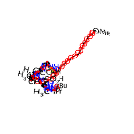 COCCOCCOCCOCCOCCOCCOCCOCCOCCOCCOCCOCCOCCOCCOCCOCCOCCCc1cc(NC[C@H](C)NC[C@@H](NC(=O)OC(C)(C)C)C(C)C)ccc1COC(=O)N(CCOC12CC3(C)CC(C)(CC(Cn4ncc(-c5ccc(N6CCc7cccc(C(=O)Nc8nc9ccccc9s8)c7C6)nc5C(=O)O)c4C)(C3)C1)C2)CCS(=O)(=O)O